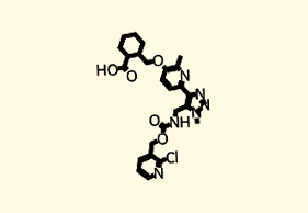 Cc1nc(-c2nnn(C)c2CNC(=O)OCc2cccnc2Cl)ccc1OCC1CCCCC1C(=O)O